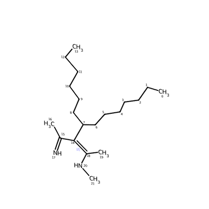 CCCCCCCC(CCCCCC)/C(C(C)=N)=C(\C)NC